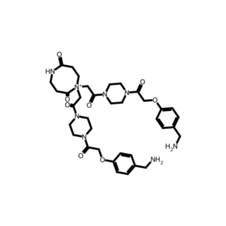 NCc1ccc(OCC(=O)N2CCN(C(=O)C[N+]3(CC(=O)N4CCN(C(=O)COc5ccc(CN)cc5)CC4)CCC(=O)NCCC3=O)CC2)cc1